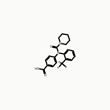 O=C(O)c1ccc(N(C(=O)N2CCCCC2)c2ccccc2C(F)(F)F)cc1